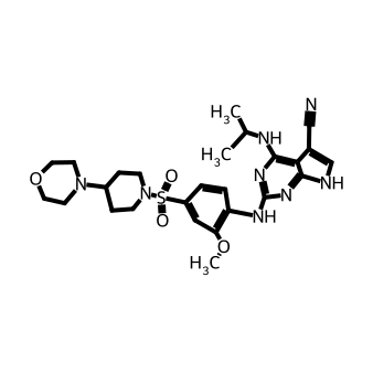 COc1cc(S(=O)(=O)N2CCC(N3CCOCC3)CC2)ccc1Nc1nc(NC(C)C)c2c(C#N)c[nH]c2n1